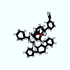 N#Cc1cccc(-c2nc3cccc(-n4c5c(c6ccccc64)C=CC4c6ccccc6N(c6nc(-c7ccccc7)nc(-c7ccccc7)n6)C54)c3o2)c1